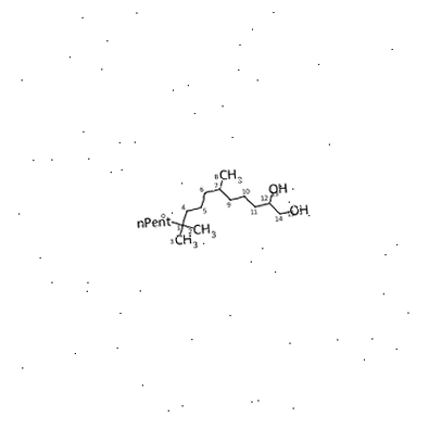 CCCCCC(C)(C)CCCC(C)CCCC(O)CO